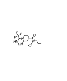 CCCN(C(=O)C1CCN(C(=N)C(F)(F)F)C(=N)C1)C1CC1